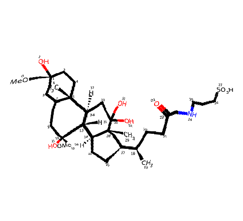 CO[C@@]1(O)CC[C@@]2(C)C(C1)C[C@](O)(OC)[C@H]1[C@@H]3CC[C@H]([C@H](C)CCC(=O)NCCS(=O)(=O)O)[C@@]3(C)C(O)(O)C[C@@H]12